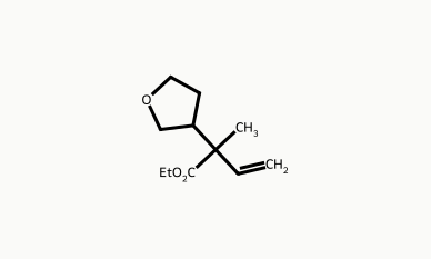 C=CC(C)(C(=O)OCC)C1CCOC1